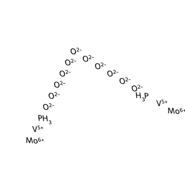 P.P.[Mo+6].[Mo+6].[O-2].[O-2].[O-2].[O-2].[O-2].[O-2].[O-2].[O-2].[O-2].[O-2].[O-2].[V+5].[V+5]